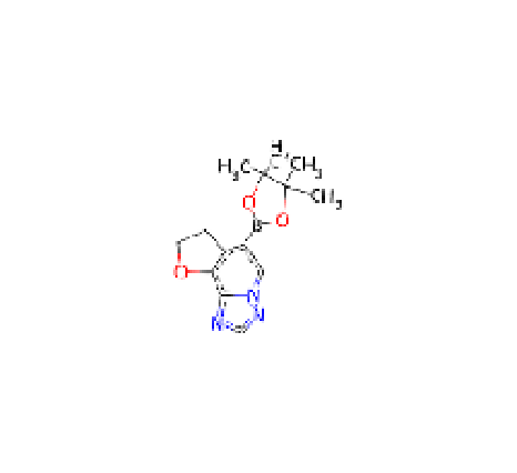 CC1(C)OB(c2cn3ncnc3c3c2CCO3)OC1(C)C